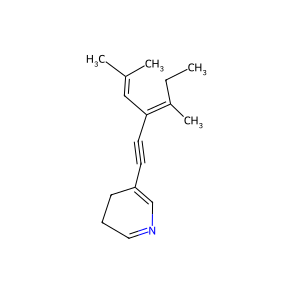 CC/C(C)=C(/C#CC1=CN=CCC1)C=C(C)C